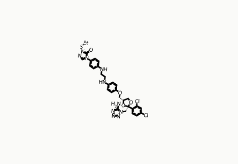 CCSn1ncn(-c2ccc(NCCNc3ccc(OC[C@@H]4CO[C@@](Cn5nnnc5N)(c5ccc(Cl)cc5Cl)O4)cc3)cc2)c1=O